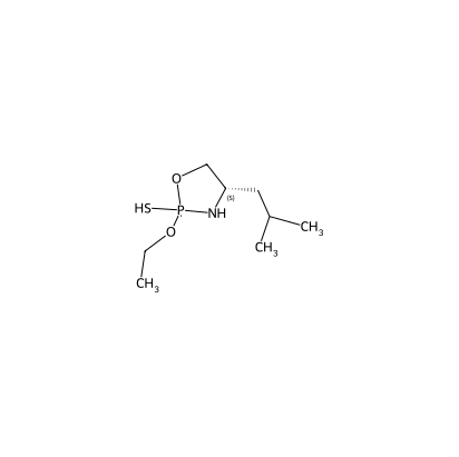 CCO[P]1(S)N[C@@H](CC(C)C)CO1